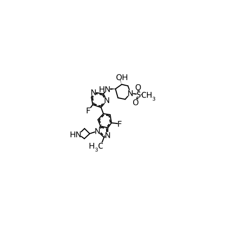 Cc1nc2c(F)cc(-c3nc(N[C@@H]4CCN(S(C)(=O)=O)C[C@H]4O)ncc3F)cc2n1C1CNC1